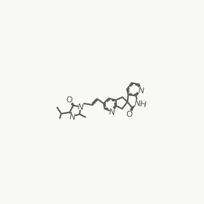 CC(C)C1=NC(C)N(C/C=C/c2cnc3c(c2)CC2(C3)C(=O)Nc3ncccc32)C1=O